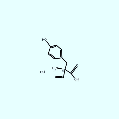 C=C[C@](N)(Cc1ccc(O)cc1)C(=O)O.Cl